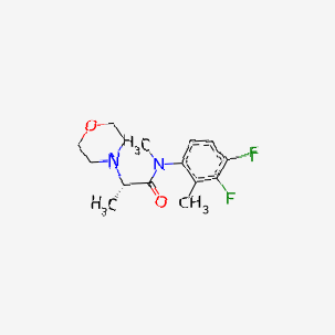 Cc1c(N(C)C(=O)[C@H](C)N2CCOCC2)ccc(F)c1F